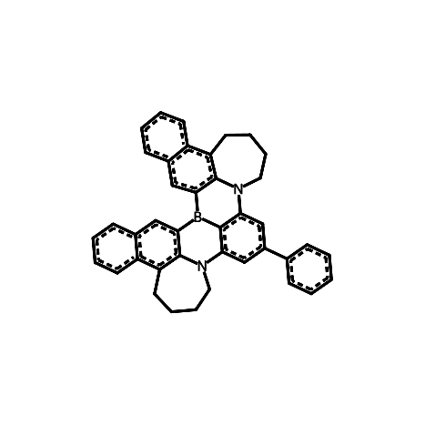 c1ccc(-c2cc3c4c(c2)N2CCCCc5c2c(cc2ccccc52)B4c2cc4ccccc4c4c2N3CCCC4)cc1